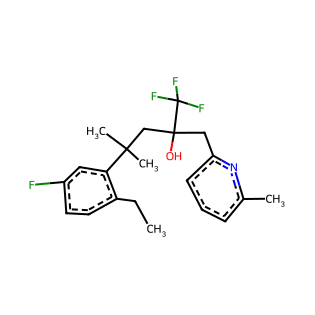 CCc1ccc(F)cc1C(C)(C)CC(O)(Cc1cccc(C)n1)C(F)(F)F